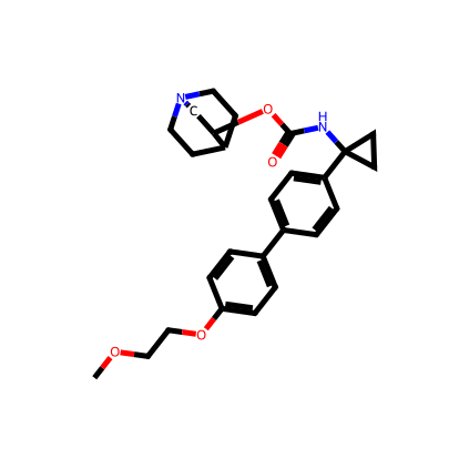 COCCOc1ccc(-c2ccc(C3(NC(=O)OC4CN5CCC4CC5)CC3)cc2)cc1